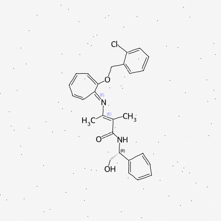 CC(/N=c1\cccccc1OCc1ccccc1Cl)=C(/C)C(=O)N[C@@H](CO)c1ccccc1